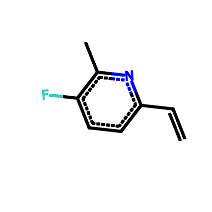 C=Cc1ccc(F)c(C)n1